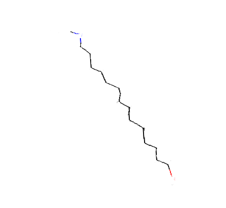 CCCCCNCCCCCCCCCCCCCCO